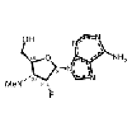 CN[C@H]1[C@@H](F)[C@H](n2cnc3c(N)ncnc32)O[C@@H]1CO